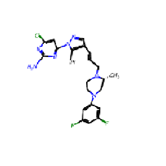 CC(C)c1c(C=CCN2CCN(c3cc(F)cc(F)c3)C[C@H]2C)cnn1-c1cc(Cl)nc(N)n1